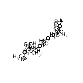 Cc1ncsc1-c1ccc(CNC(=O)[C@@H]2CCCN2C(=O)C(NC(=O)c2ccc(C(F)(F)C(=O)Nc3ccc(-c4ccc(N5C(=S)N(c6ccc(C#N)c(C(F)(F)F)c6F)C(=O)C5(C)C)cn4)cc3)cc2)C(C)(C)C)cc1